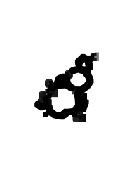 CCN1[C@H](C)C/C=C/C(O)[C@@H]2CC[C@H]2CN2CCCCc3cc(Cl)ccc3COc3ccc(cc32)C(=O)NS1(=O)=O